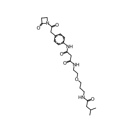 CC(C)CC(=O)NCCCOCCNC(=O)CC(=O)Nc1ccc(CC(=O)N2CCC2=O)cc1